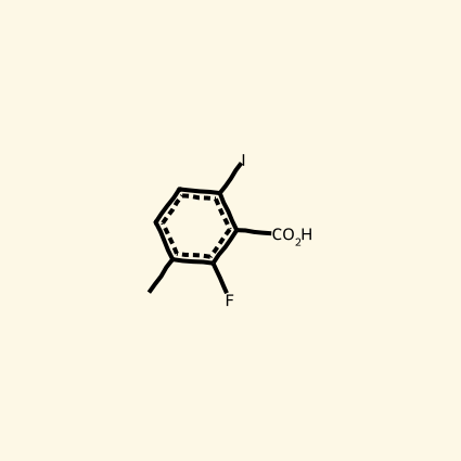 Cc1ccc(I)c(C(=O)O)c1F